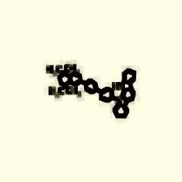 CC1(C)CCC(C)(C)c2cc(-c3ccc(-c4ccc(-n5c6ccccc6c6ccc7c8ccccc8[nH]c7c65)cc4)cc3)ccc21